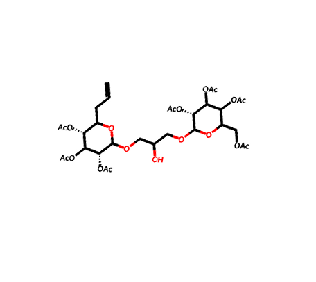 C=CCC1OC(OCC(O)COC2OC(COC(C)=O)C(OC(C)=O)C(OC(C)=O)[C@H]2OC(C)=O)[C@H](OC(C)=O)C(OC(C)=O)[C@@H]1OC(C)=O